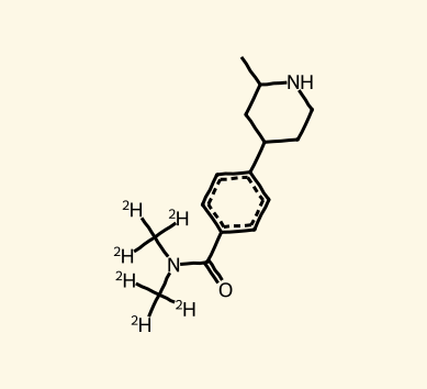 [2H]C([2H])([2H])N(C(=O)c1ccc(C2CCNC(C)C2)cc1)C([2H])([2H])[2H]